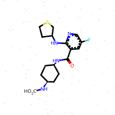 O=C(O)N[C@H]1CC[C@@H](NC(=O)c2cc(F)cnc2NC2CCSC2)CC1